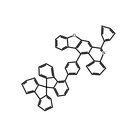 c1ccc(-c2nc3ccccc3c3c(-c4ccc(-c5cccc6c5-c5ccccc5C65c6ccccc6-c6ccccc65)cc4)c4c(cc23)oc2ccccc24)cc1